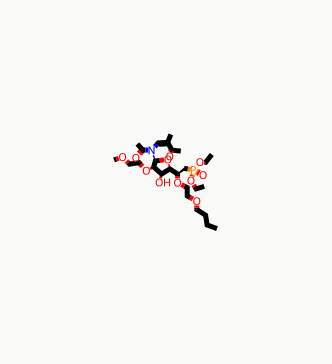 CCCCOCCO[C@H](CP(=O)(OCC)OCC)[C@H]1O[C@@H](N(/C=C(/C)C(C)=O)C(C)=O)[C@H](OCCOC)[C@@H]1O